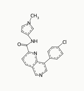 Cn1ccc(NC(=O)c2ccc3cncc(-c4ccc(Cl)cc4)c3n2)c1